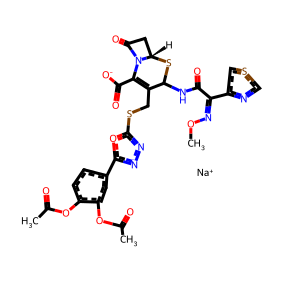 CON=C(C(=O)NC1S[C@H]2CC(=O)N2C(C(=O)[O-])=C1CSc1nnc(-c2ccc(OC(C)=O)c(OC(C)=O)c2)o1)c1cscn1.[Na+]